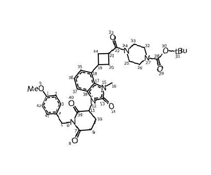 COc1ccc(CN2C(=O)CCC(n3c(=O)n(C)c4c(C5CC(C(=O)N6CCN(C(=O)OC(C)(C)C)CC6)C5)cccc43)C2=O)cc1